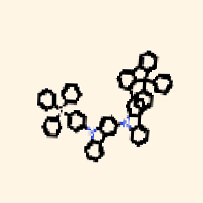 c1ccc(C2(c3ccccc3)c3ccccc3-c3cccc(-c4ccc5c6ccccc6n(-c6ccc7c(c6)c6ccccc6n7-c6ccc([Si](c7ccccc7)(c7ccccc7)c7ccccc7)cc6)c5c4)c32)cc1